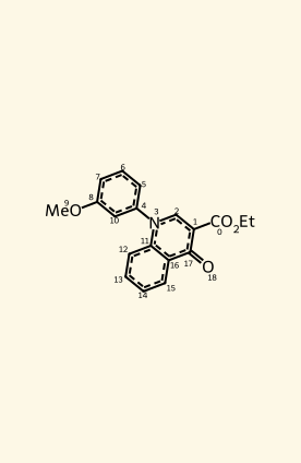 CCOC(=O)c1cn(-c2cccc(OC)c2)c2ccccc2c1=O